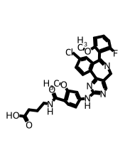 COc1cc(Nc2ncc3c(n2)-c2ccc(Cl)cc2C(c2c(F)cccc2OC)=NC3)ccc1C(=O)NCCCC(=O)O